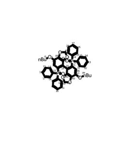 CCCCOc1cc(P(=O)(c2ccccc2)c2ccccc2)c(-c2c(P(=O)(c3ccccc3)c3ccccc3)cc(OCCCC)c3c2OCO3)c2c1OCO2